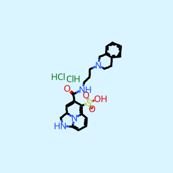 Cl.Cl.O=C(NCCCN1CCc2ccccc2C1)C1=CC2CNC3=CC=CC(=C1S(=O)(=O)O)N32